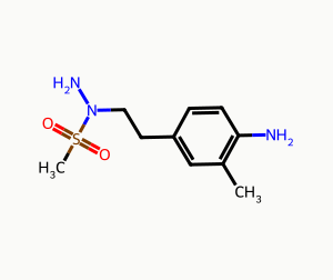 Cc1cc(CCN(N)S(C)(=O)=O)ccc1N